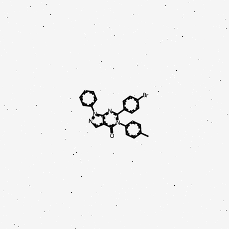 Cc1ccc(-n2c(-c3ccc(Br)cc3)nc3c(cnn3-c3ccccc3)c2=O)cc1